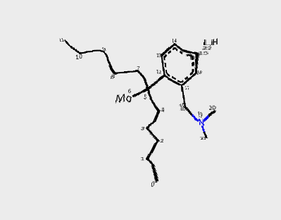 CCCCC[C]([Mo])(CCCCC)c1ccccc1CN(C)C.[LiH]